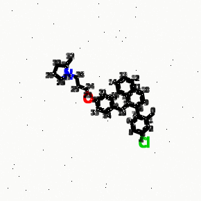 Cc1cc(Cl)ccc1-c1ccc2ccccc2c1Cc1ccc(OCCCN2CCCC2C)cc1